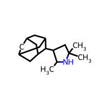 CC1NC(C)(C)CC1C1C2CC3CC(C2)CC1C3